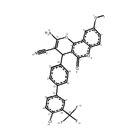 COc1ccc2oc(=O)c3c(c2c1)OC(N)=C(C#N)C3c1ccc(-c2ccc(Cl)c(C(F)(F)F)c2)cc1